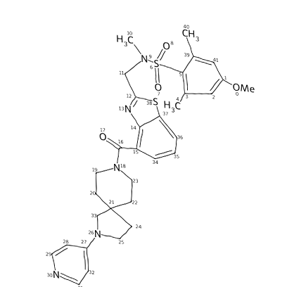 COc1cc(C)c(S(=O)(=O)N(C)Cc2nc3c(C(=O)N4CCC5(CC4)CCN(c4ccncc4)C5)cccc3s2)c(C)c1